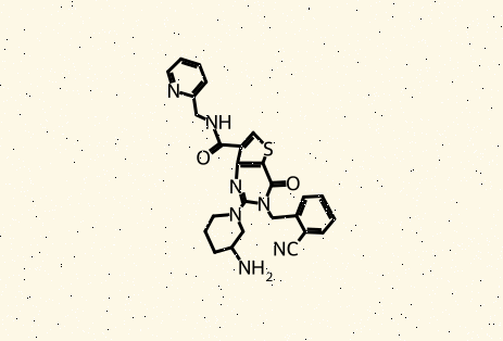 N#Cc1ccccc1Cn1c(N2CCCC(N)C2)nc2c(C(=O)NCc3ccccn3)csc2c1=O